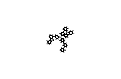 c1ccc(-c2cccc(-c3ccc(N(c4ccc(-c5ccccc5-n5c6ccccc6c6ccccc65)cc4)c4ccc(-c5cccc6c5oc5ccccc56)cc4)cc3)c2)cc1